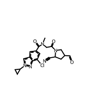 CN(CC(=O)N1CC(C=O)CC1C#N)C(=O)c1cc(Cl)c2nn(C3CC3)cc2c1